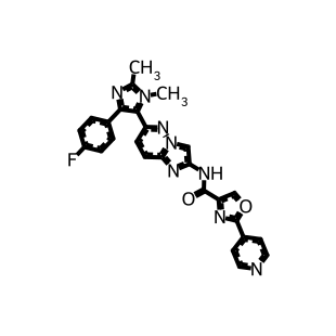 Cc1nc(-c2ccc(F)cc2)c(-c2ccc3nc(NC(=O)c4coc(-c5ccncc5)n4)cn3n2)n1C